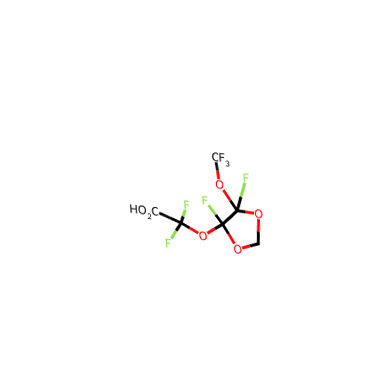 O=C(O)C(F)(F)OC1(F)OCOC1(F)OC(F)(F)F